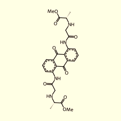 COC(=O)[C@H](C)NCC(=O)Nc1cccc2c1C(=O)c1cccc(NC(=O)CN[C@@H](C)C(=O)OC)c1C2=O